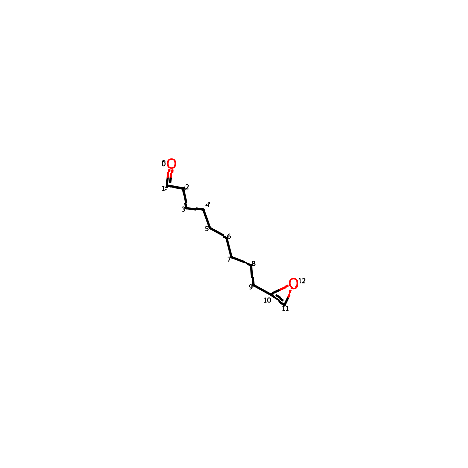 O=[C]CCCCCCCCC1=CO1